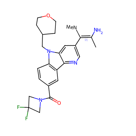 CN/C(=C(/C)N)c1cnc2c3cc(C(=O)N4CC(F)(F)C4)ccc3n(CC3CCOCC3)c2c1